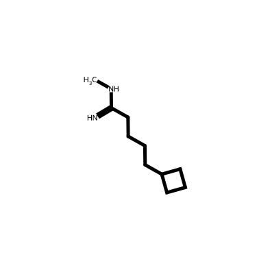 CNC(=N)CCCCC1CCC1